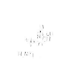 CC1(N)CC(OC(=O)NC(C)(C)C)C1.Cl